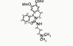 COc1cc2c(cc1OC)C(c1ccccc1)N(C(=O)NCCCN(C)C)CC2